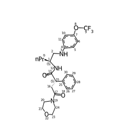 CCC[C@@H](CNc1ccc(OC(F)(F)F)cc1)NC(=O)[C@@H](CC(=O)N1CCOCC1)c1ccccc1